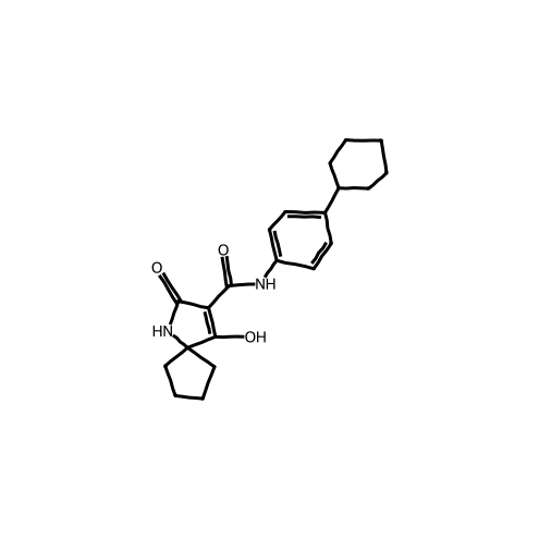 O=C(Nc1ccc(C2CCCCC2)cc1)C1=C(O)C2(CCCC2)NC1=O